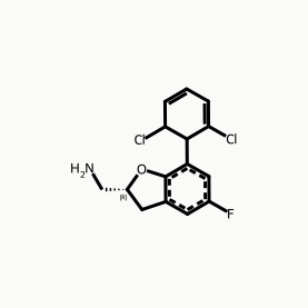 NC[C@H]1Cc2cc(F)cc(C3C(Cl)=CC=CC3Cl)c2O1